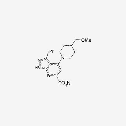 COCC1CCN(c2cc(C(=O)O)nc3[nH]nc(C(C)C)c23)CC1